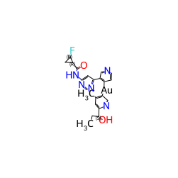 CC[C@H](O)c1cc(C)[c]([Au][c]2ccncc2-c2cc(NC(=O)[C@H]3C[C@H]3F)ncn2)cn1